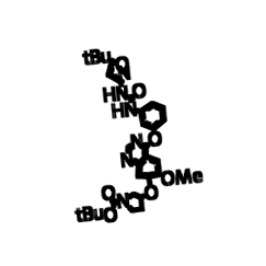 COc1cc2c(Oc3cccc(NC(=O)Nc4cc(C(C)(C)C)on4)c3)ncnc2cc1OC1CCN(C(=O)OC(C)(C)C)C1